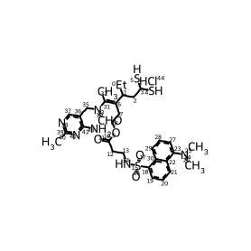 CCC(CC(S)S)C(CCOC(=O)CCNS(=O)(=O)c1cccc2c(N(C)C)cccc12)=C(C)N(C=O)Cc1cnc(C)nc1N.Cl